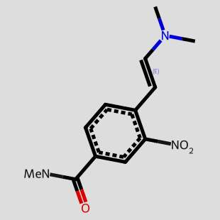 CNC(=O)c1ccc(/C=C/N(C)C)c([N+](=O)[O-])c1